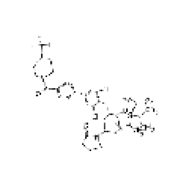 CC(C)[Si](OC1CCC(N2CCCC2=O)CC1Cc1c(Cl)cc(-c2ccc(C(=O)N3CCC(C(F)(F)F)CC3)cc2)cc1Cl)(C(C)C)C(C)C